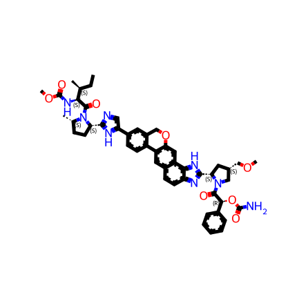 CC[C@H](C)[C@H](NC(=O)OC)C(=O)N1[C@@H](C)CC[C@H]1c1ncc(-c2ccc3c(c2)COc2cc4c(ccc5nc([C@@H]6C[C@H](COC)CN6C(=O)[C@H](OC(N)=O)c6ccccc6)[nH]c54)cc2-3)[nH]1